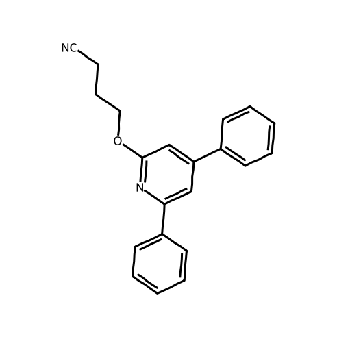 N#CCCCOc1cc(-c2ccccc2)cc(-c2ccccc2)n1